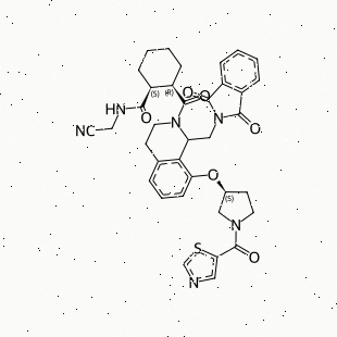 N#CCNC(=O)[C@H]1CCCC[C@H]1C(=O)N1CCc2cccc(O[C@H]3CCN(C(=O)c4cncs4)C3)c2C1CN1C(=O)c2ccccc2C1=O